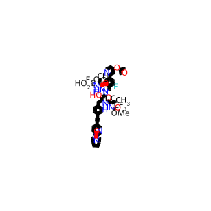 COC(=O)NC(C(=O)NC(Cc1ccc(C#Cc2ccc(N3CC4CCC(C3)N4C3COC3)nc2)cc1)C(O)CN(Cc1c(F)cc(-c2cc(OC3COC3)ccn2)cc1F)NC(=O)C(NC(=O)O)C(C)(C)C(F)(F)F)C(C)(C)C(F)(F)F